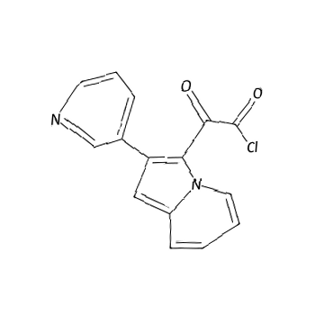 O=C(Cl)C(=O)c1c(-c2cccnc2)cc2ccccn12